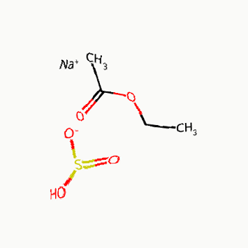 CCOC(C)=O.O=S([O-])O.[Na+]